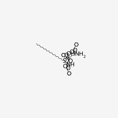 CCCCCCCCCCCCCCCCCCSC[C@@H](NC(=O)OCc1ccccc1)C(=O)N(Cc1ccccc1)[C@@H](CCCC(N)C(=O)OCc1ccccc1)C(=O)O